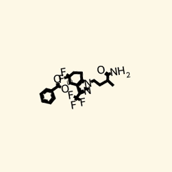 CC(CCn1nc(C(F)(F)F)c2c1CCC(F)(F)[C@H]2OC(=O)c1ccccc1)C(N)=O